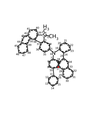 C[Si]1(C)c2cc(N(c3ccc(-c4ccccc4)cc3)c3ccccc3-c3ccc4ccccc4c3)ccc2-c2c1ccc1sc3ccccc3c21